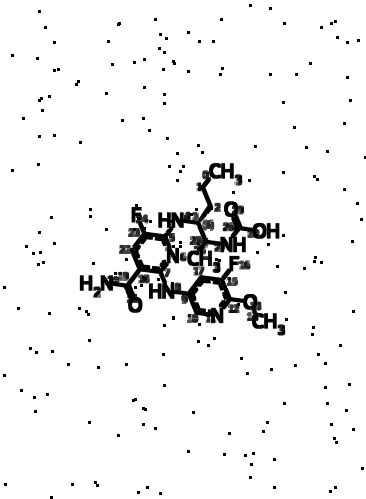 CCC[C@H](Nc1nc(Nc2cnc(OC)c(F)c2)c(C(N)=O)cc1F)[C@H](C)NC(=O)O